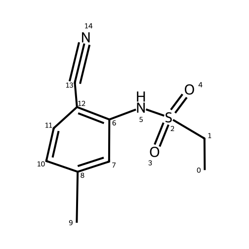 CCS(=O)(=O)Nc1cc(C)ccc1C#N